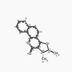 C[C@@H]1Oc2c(c(=O)oc3c2ccc2ncccc23)[C@H]1C